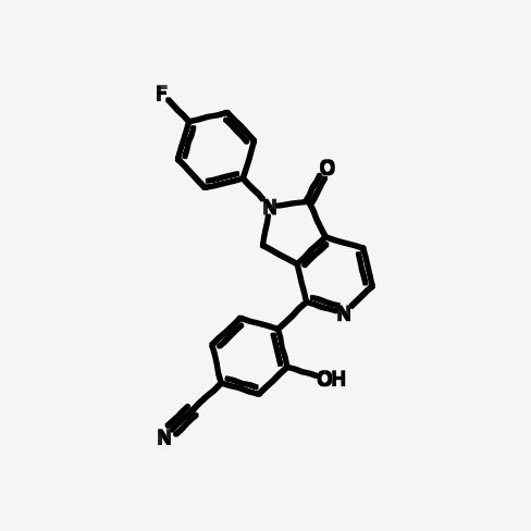 N#Cc1ccc(-c2nccc3c2CN(c2ccc(F)cc2)C3=O)c(O)c1